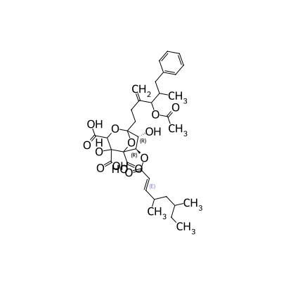 C=C(CCC12OC(C(=O)O)C(O)(C(=O)O)C(C(=O)O)(O1)[C@H](OC(=O)/C=C/C(C)CC(C)CC)[C@H]2O)C(OC(C)=O)C(C)Cc1ccccc1